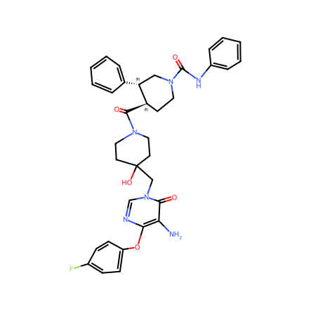 Nc1c(Oc2ccc(F)cc2)ncn(CC2(O)CCN(C(=O)[C@@H]3CCN(C(=O)Nc4ccccc4)C[C@H]3c3ccccc3)CC2)c1=O